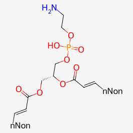 CCCCCCCCCC=CC(=O)OC[C@H](COP(=O)(O)OCCN)OC(=O)C=CCCCCCCCCC